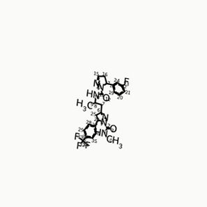 CNC(=O)N1N=C(CC(C)NC(=O)N2N=CCC2c2cccc(F)c2)CC1c1ccc(C(F)(F)F)cc1